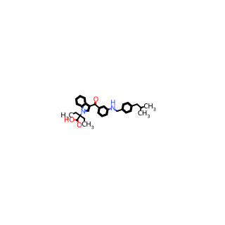 CCC(CC)(C(=O)O)n1cc(C(=O)c2cccc(NCc3ccc(CC(C)C)cc3)c2)c2ccccc21